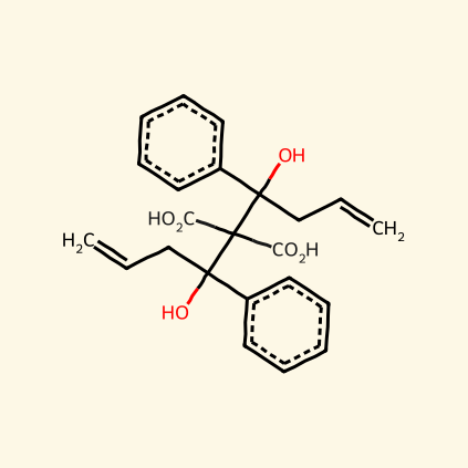 C=CCC(O)(c1ccccc1)C(C(=O)O)(C(=O)O)C(O)(CC=C)c1ccccc1